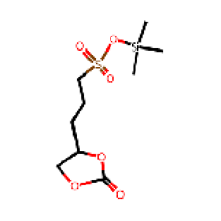 C[Si](C)(C)OS(=O)(=O)CCCC1COC(=O)O1